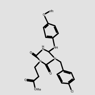 CCCOc1ccc(NC2NC(=O)N(CCC(=O)OC)C(=O)N2Cc2ccc(Cl)cc2)cc1